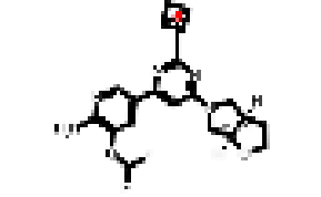 Nc1ncc(-c2cc(N3C[C@H]4CCO[C@H]4C3)nc(N3CC4CC3C4)n2)cc1OC(F)F